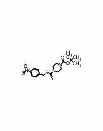 CC(C)(C)OC(=O)N1CCN(C(=S)SCc2ccc([N+](=O)[O-])cc2)CC1